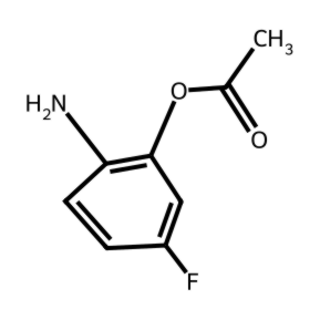 CC(=O)Oc1cc(F)ccc1N